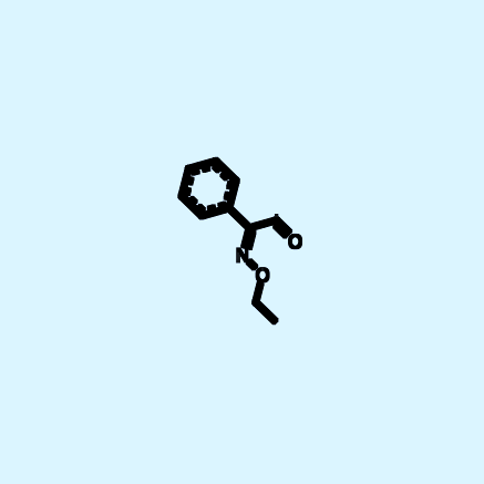 CCO/N=C(\[C]=O)c1ccccc1